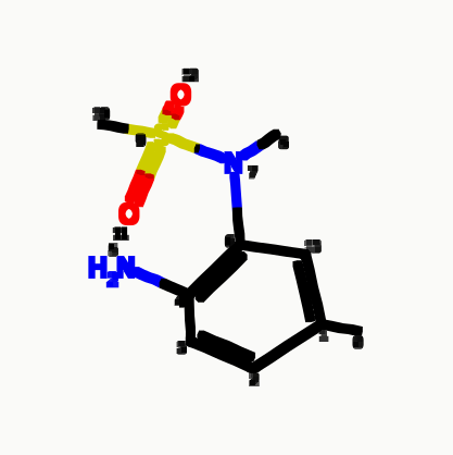 Cc1ccc(N)c(N(C)S(C)(=O)=O)c1